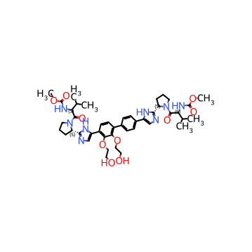 COC(=O)N[C@H](C(=O)N1CCC[C@H]1c1ncc(-c2ccc(-c3ccc(-c4cnc([C@@H]5CCCN5C(=O)[C@@H](NC(=O)OC)C(C)C)[nH]4)c(OCCO)c3OCCO)cc2)[nH]1)C(C)C